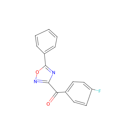 O=C(c1ccc(F)cc1)c1noc(-c2ccccc2)n1